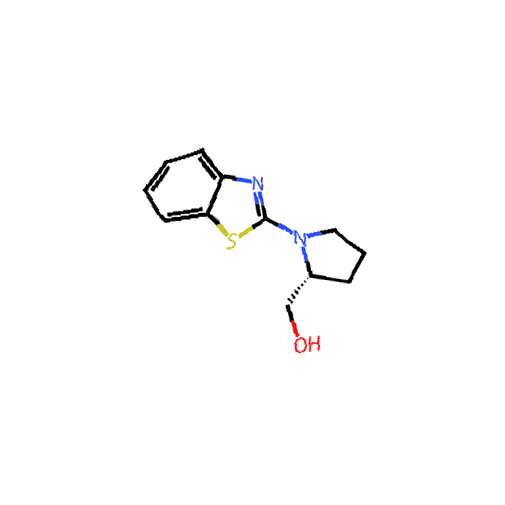 OC[C@H]1CCCN1c1nc2ccccc2s1